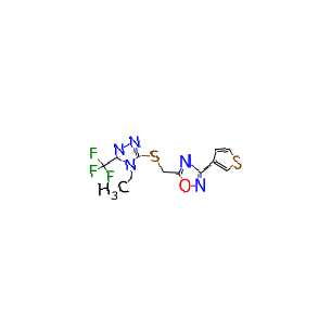 CCn1c(SCc2nc(-c3ccsc3)no2)nnc1C(F)(F)F